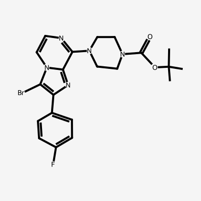 CC(C)(C)OC(=O)N1CCN(c2nccn3c(Br)c(-c4ccc(F)cc4)nc23)CC1